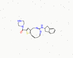 O=C(c1cc2c(s1)/C=C\C/C=N\C(NC1Cc3ccccc3C1)=N/C2)N1CCNCC1